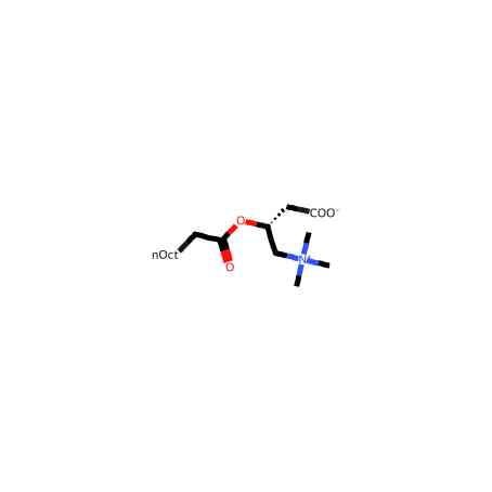 CCCCCCCCCC(=O)O[C@H](CC(=O)[O-])C[N+](C)(C)C